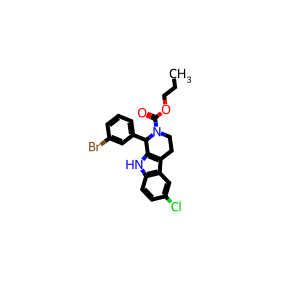 CCCOC(=O)N1CCc2c([nH]c3ccc(Cl)cc23)C1c1cccc(Br)c1